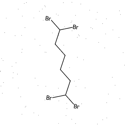 BrC(Br)CCCCC(Br)Br